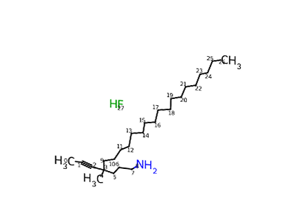 CC#CC(C)(CCCN)CCCCCCCCCCCCCCCCCC.F